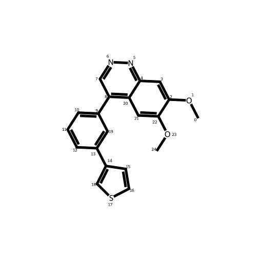 COc1cc2nncc(-c3cccc(-c4ccsc4)c3)c2cc1OC